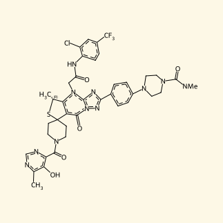 CNC(=O)N1CCN(c2ccc(-c3nc4n(CC(=O)Nc5ccc(C(F)(F)F)cc5Cl)c5c(c(=O)n4n3)C3(CCN(C(=O)c4ncnc(C)c4O)CC3)S[C@@H]5C)cc2)CC1